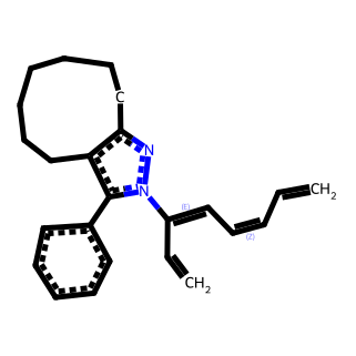 C=C/C=C\C=C(/C=C)n1nc2c(c1-c1ccccc1)CCCCCCC2